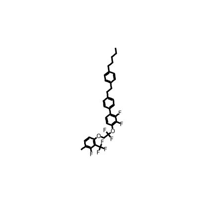 CCCCCc1ccc(CCc2ccc(-c3ccc(OC(F)(F)COc4ccc(C)c(F)c4C(F)(F)F)c(F)c3F)cc2)cc1